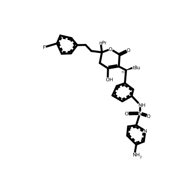 CCCC1(CCc2ccc(F)cc2)CC(O)=C([C@H](c2cccc(NS(=O)(=O)c3ccc(N)cn3)c2)C(C)(C)C)C(=O)O1